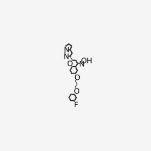 ON=c1cc(-c2cc3cccn3cn2)oc2ccc(OCCCOc3cccc(F)c3)cc12